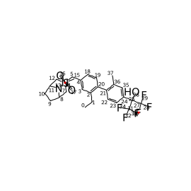 CCc1cc(CN2CC3CCC(C2)N3S(C)(=O)=O)ccc1-c1ccc(C(O)(C(F)(F)F)C(F)(F)F)cc1C